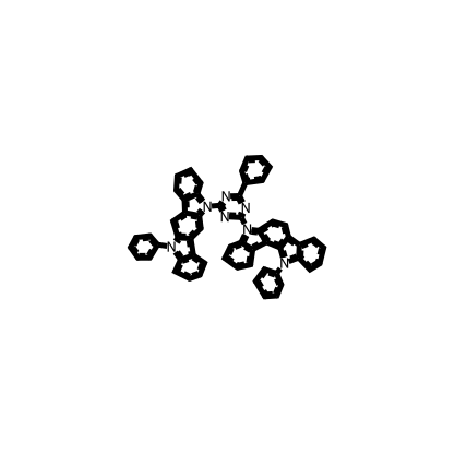 c1ccc(-c2nc(-n3c4ccccc4c4cc5c(cc43)c3ccccc3n5-c3ccccc3)nc(-n3c4ccccc4c4c3ccc3c5ccccc5n(-c5ccccc5)c34)n2)cc1